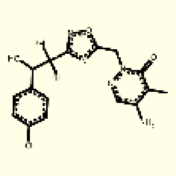 [2H]C([2H])(c1noc(Cn2ncc(N)c(C)c2=O)n1)C(O)c1ccc(Cl)cc1